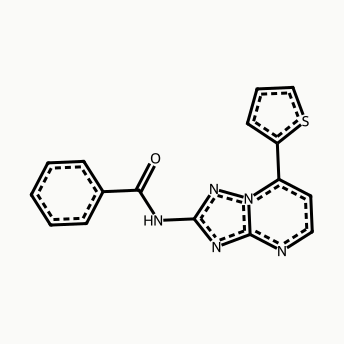 O=C(Nc1nc2nccc(-c3cccs3)n2n1)c1ccccc1